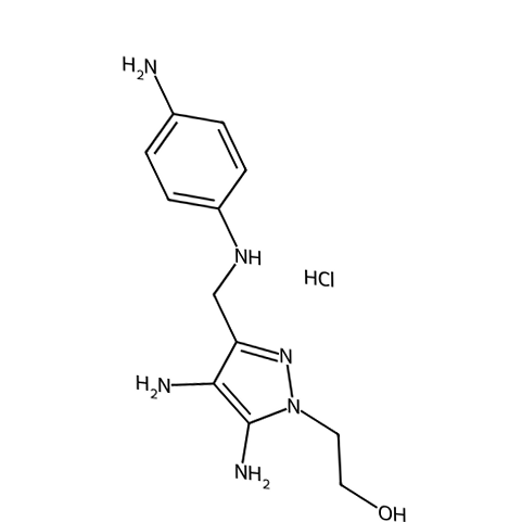 Cl.Nc1ccc(NCc2nn(CCO)c(N)c2N)cc1